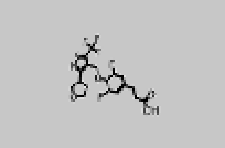 O=C(O)CCC1=CC(F)C(OCc2c(C3CCOC3)nsc2C(F)(F)F)C(F)=C1